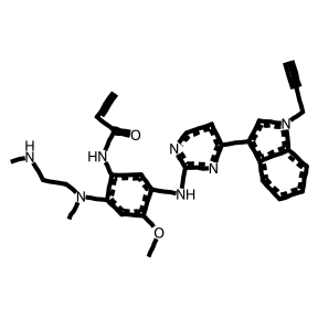 C#CCn1cc(-c2ccnc(Nc3cc(NC(=O)C=C)c(N(C)CCNC)cc3OC)n2)c2ccccc21